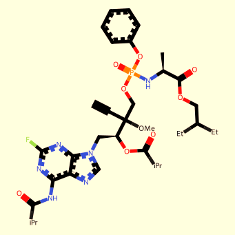 C#CC(COP(=O)(N[C@@H](C)C(=O)OCC(CC)CC)Oc1ccccc1)(OC)[C@H](Cn1cnc2c(NC(=O)C(C)C)nc(F)nc21)OC(=O)C(C)C